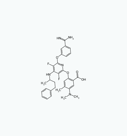 Cc1cc(Oc2nc(Oc3cccc(C(=N)N)c3)c(F)c(NC(C)CCc3ccccc3)c2F)c(C(=O)O)cc1N(C)C